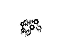 CN1CCN(c2cccc(NN(c3cccc(N4CCN(C)CC4)c3)c3ncc4ccc(-c5cnn(C)c5)n4n3)c2)CC1